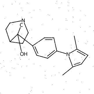 Cc1ccc(C)n1-c1ccc(C2(O)CN3CCC2CC3)cc1